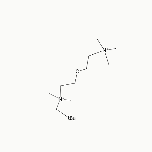 CC(C)(C)C[N+](C)(C)CCOCC[N+](C)(C)C